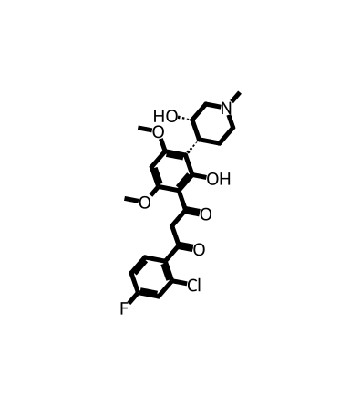 COc1cc(OC)c([C@H]2CCN(C)C[C@H]2O)c(O)c1C(=O)CC(=O)c1ccc(F)cc1Cl